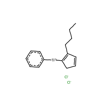 CCCCC1=[C]([Ti+2][c]2ccccc2)CC=C1.[Cl-].[Cl-]